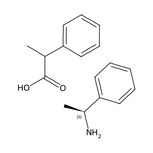 CC(C(=O)O)c1ccccc1.C[C@H](N)c1ccccc1